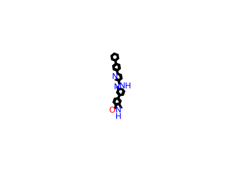 O=C1NCc2cc(C3=CC4N=C(c5ccc(-c6ccc(C7CCCCC7)cc6)nc5)NC4C=C3)ccc21